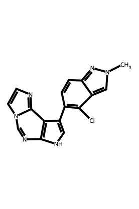 Cn1cc2c(Cl)c(-c3c[nH]c4ncn5ccnc5c34)ccc2n1